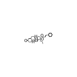 CCC[C@]1(OC(=O)C=Cc2ccccc2)CC[C@H]2[C@@H]3CCC4=CC(=O)CC[C@]4(C)[C@H]3CC[C@@]21C